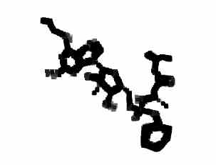 CCCNc1nc(N)nc2c1ncn2[C@@H]1O[C@H](CO[P@](=O)(N[C@@H](C)C(=O)OC(C)C)Oc2ccccc2)[C@@H](O)[C@@]1(C)F